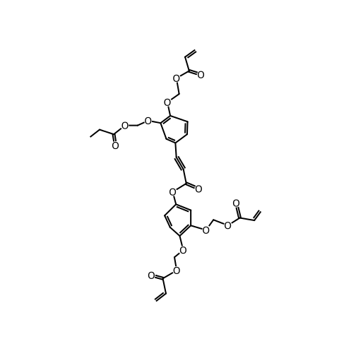 C=CC(=O)OCOc1ccc(OC(=O)C#Cc2ccc(OCOC(=O)C=C)c(OCOC(=O)CC)c2)cc1OCOC(=O)C=C